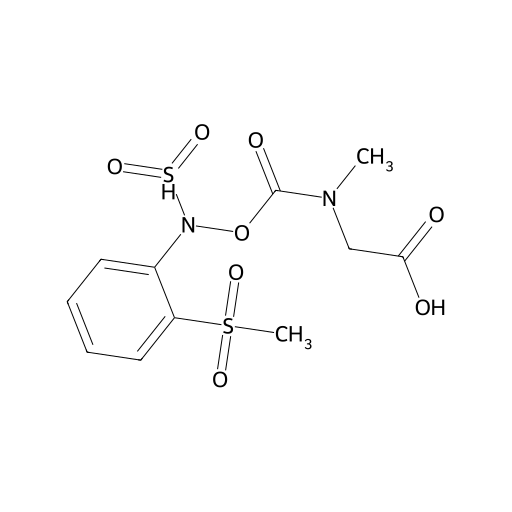 CN(CC(=O)O)C(=O)ON(c1ccccc1S(C)(=O)=O)[SH](=O)=O